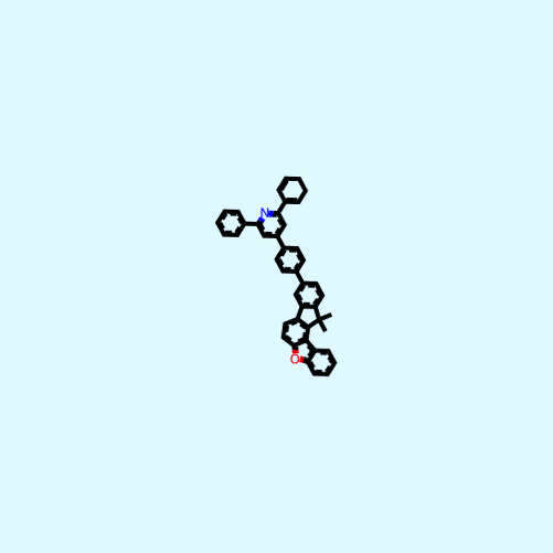 CC1(C)c2ccc(-c3ccc(-c4cc(C5=CCCC=C5)nc(-c5ccccc5)c4)cc3)cc2-c2ccc3oc4ccccc4c3c21